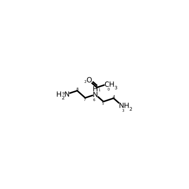 C[C]=O.NCCNCCN